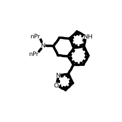 CCCN(CCC)C1Cc2c[nH]c3ccc(-c4ccon4)c(c23)C1